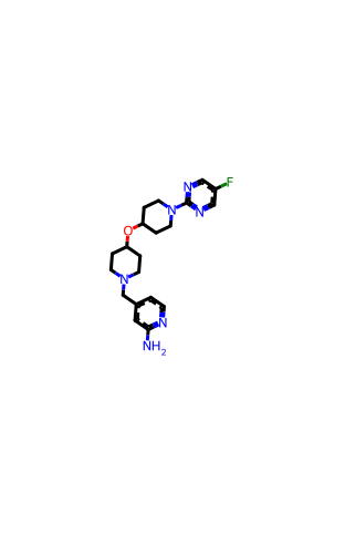 Nc1cc(CN2CCC(OC3CCN(c4ncc(F)cn4)CC3)CC2)ccn1